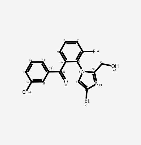 CCc1cn(-c2c(F)cccc2C(=O)c2cccc(Cl)c2)c(CO)n1